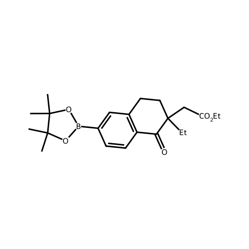 CCOC(=O)CC1(CC)CCc2cc(B3OC(C)(C)C(C)(C)O3)ccc2C1=O